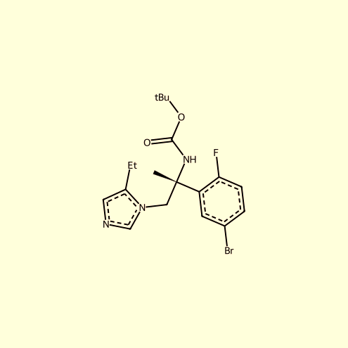 CCc1cncn1C[C@](C)(NC(=O)OC(C)(C)C)c1cc(Br)ccc1F